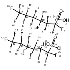 O=P(O)(F)C(F)(F)C(F)(F)C(F)(F)C(F)(F)C(F)(F)C(F)(F)F.O=P(O)(O)C(F)(F)C(F)(F)C(F)(F)C(F)(F)C(F)(F)C(F)(F)F